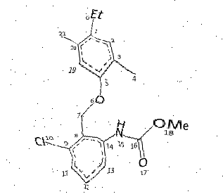 CCc1cc(C)c(OCc2c(Cl)cccc2NC(=O)OC)cc1C